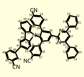 N#Cc1ccc(-c2cc(-c3nc(-c4ccccc4)cc(-c4ccccc4)n3)cc(-c3ccc(C#N)cc3)c2-n2c3ccccc3c3cc(-c4cccc(C#N)c4)ccc32)cc1